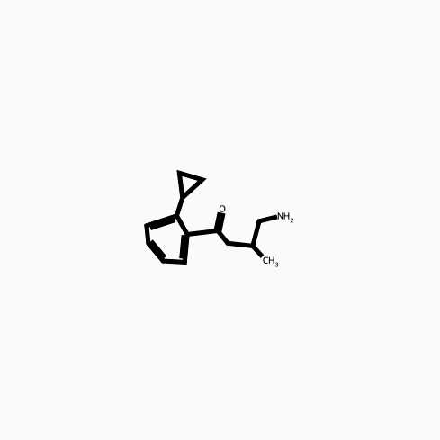 CC(CN)CC(=O)c1ccccc1C1CC1